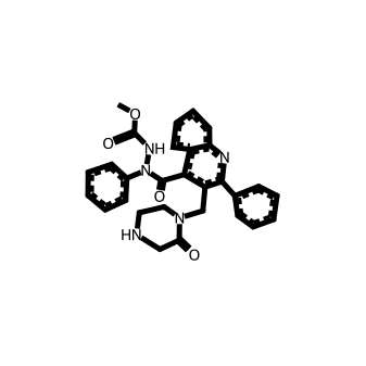 COC(=O)NN(C(=O)c1c(CN2CCNCC2=O)c(-c2ccccc2)nc2ccccc12)c1ccccc1